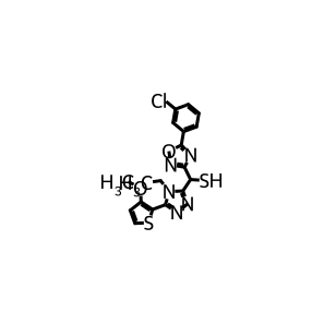 CCn1c(-c2sccc2OC)nnc1C(S)c1noc(-c2cccc(Cl)c2)n1